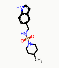 CC1CCN(S(=O)(=O)NCc2ccc3[nH]ccc3c2)CC1